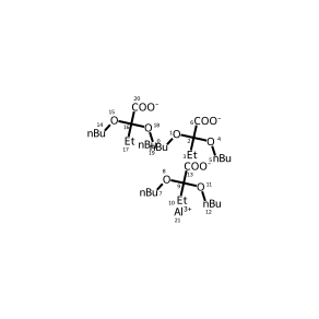 CCCCOC(CC)(OCCCC)C(=O)[O-].CCCCOC(CC)(OCCCC)C(=O)[O-].CCCCOC(CC)(OCCCC)C(=O)[O-].[Al+3]